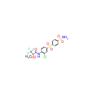 C[C@@](O)(C(=O)Nc1ccc(S(=O)(=O)c2ccc(S(N)(=O)=O)cc2)cc1Cl)C(F)(F)F